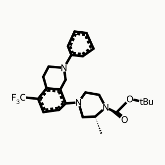 C[C@@H]1CN(c2ccc(C(F)(F)F)c3c2CN(c2ccccc2)CC3)CCN1C(=O)OC(C)(C)C